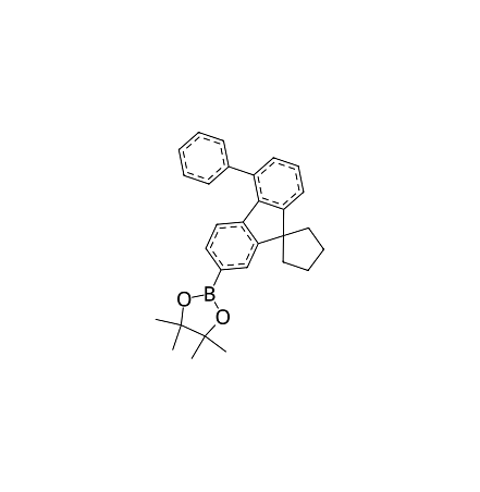 CC1(C)OB(c2ccc3c(c2)C2(CCCC2)c2cccc(-c4ccccc4)c2-3)OC1(C)C